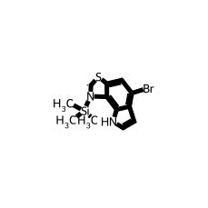 C[Si](C)(C)N1[CH]Sc2cc(Br)c3cc[nH]c3c21